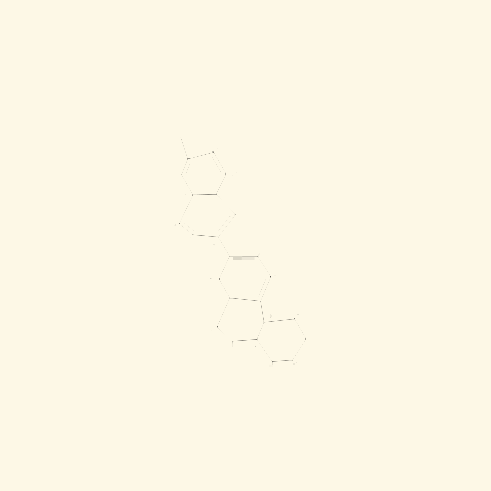 IC1=CC2C=CC(C3=CC=C4C(CCC5CCCCC45)C3)=CC2C=C1